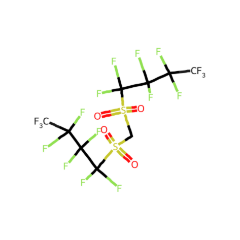 O=S(=O)(CS(=O)(=O)C(F)(F)C(F)(F)C(F)(F)C(F)(F)F)C(F)(F)C(F)(F)C(F)(F)C(F)(F)F